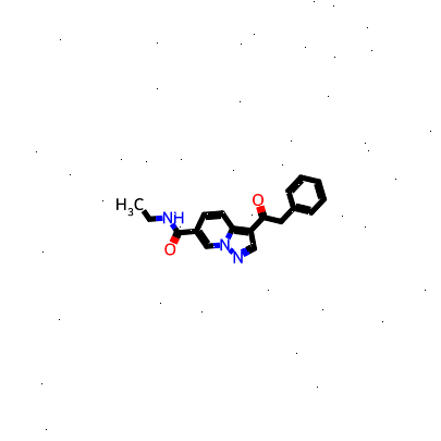 CCNC(=O)c1ccc2c(C(=O)Cc3ccccc3)cnn2c1